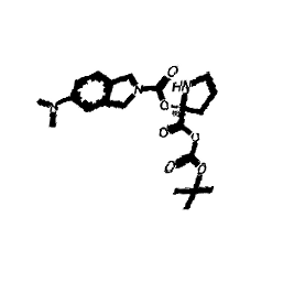 CN(C)c1ccc2c(c1)CN(C(=O)O[C@@]1(C(=O)OC(=O)OC(C)(C)C)CCCN1)C2